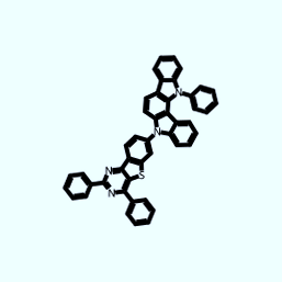 c1ccc(-c2nc(-c3ccccc3)c3sc4cc(-n5c6ccccc6c6c5ccc5c7ccccc7n(-c7ccccc7)c56)ccc4c3n2)cc1